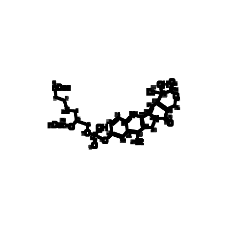 CCCCCCCCCCCCSCC(COP(=O)(O)Oc1ccc2nc3c(c(CC)c2c1)Cn1c-3cc2c(c1=O)COC(=O)[C@]2(O)CC)OCCCCCCCCCC